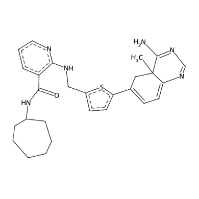 CC12CC(c3ccc(CNc4ncccc4C(=O)NC4CCCCCC4)s3)=CC=C1N=CN=C2N